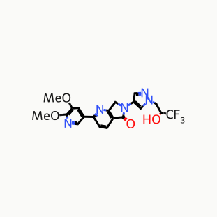 COc1cc(-c2ccc3c(n2)CN(c2cnn(CC(O)C(F)(F)F)c2)C3=O)cnc1OC